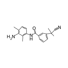 Cc1ccc(NC(=O)c2cccc(C(C)(C)C#N)c2)c(C)c1N